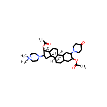 CC(=O)OC1CC2CC[C@@H]3[C@@H](CC[C@]4(C)C(OC(C)=O)C(N5CC[N+](C)(C)CC5)C[C@@H]34)[C@@]2(C)CC1N1CCC(=O)CC1